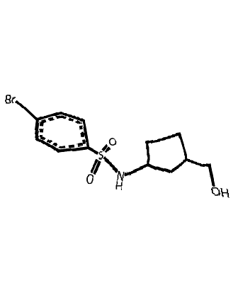 O=S(=O)(NC1CCC(CO)C1)c1ccc(Br)cc1